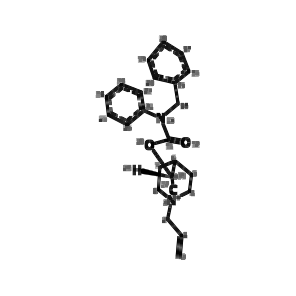 C=CC[N+]12CCC(CC1)[C@@H](OC(=O)N(Cc1ccccc1)c1ccccc1)C2